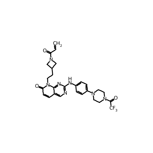 C=CC(=O)N1CC(CCn2c(=O)ccc3cnc(Nc4ccc(N5CCN(C(=O)C(F)(F)F)CC5)cc4)nc32)C1